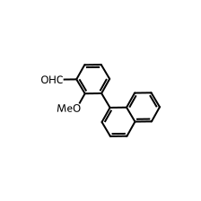 COc1c(C=O)cccc1-c1cccc2ccccc12